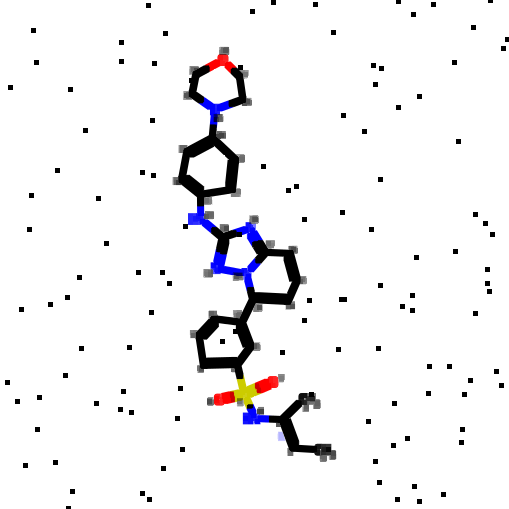 C/C=C(\C)NS(=O)(=O)c1cccc(-c2cccc3nc(Nc4ccc(N5CCOCC5)cc4)nn23)c1